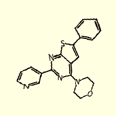 c1ccc(-c2cc3c(N4CCOCC4)nc(-c4cccnc4)nc3s2)cc1